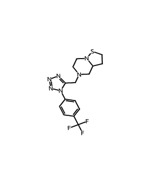 FC(F)(F)c1ccc(-n2nnnc2CN2CCN3SCCC3C2)cc1